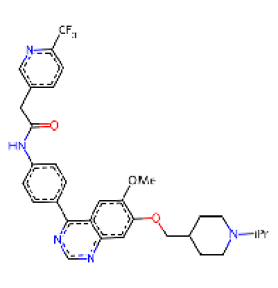 COc1cc2c(-c3ccc(NC(=O)Cc4ccc(C(F)(F)F)nc4)cc3)ncnc2cc1OCC1CCN(C(C)C)CC1